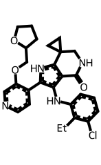 CCc1c(Cl)cccc1Nc1c(-c2ccncc2OCC2CCCO2)[nH]c2c1C(=O)NCC21CC1